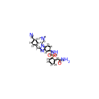 CN(C)CCn1c(Cc2ccc(C#N)cc2)nc2cc(NS(=O)(=O)c3ccccc3CC(N)=O)ccc21